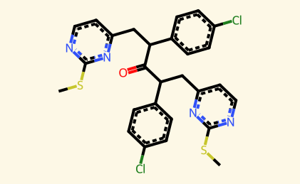 CSc1nccc(CC(C(=O)C(Cc2ccnc(SC)n2)c2ccc(Cl)cc2)c2ccc(Cl)cc2)n1